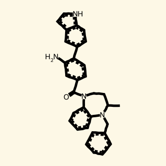 CC1CCN(C(=O)c2ccc(-c3ccc4[nH]ccc4c3)c(N)c2)c2ccccc2N1Cc1ccccc1